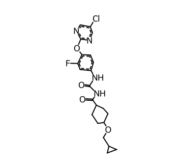 O=C(NC(=O)C1CCC(OCC2CC2)CC1)Nc1ccc(Oc2ncc(Cl)cn2)c(F)c1